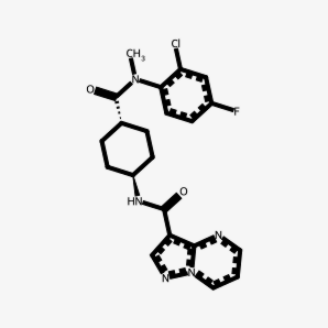 CN(c1ccc(F)cc1Cl)C(=O)[C@H]1CC[C@H](NC(=O)c2cnn3cccnc23)CC1